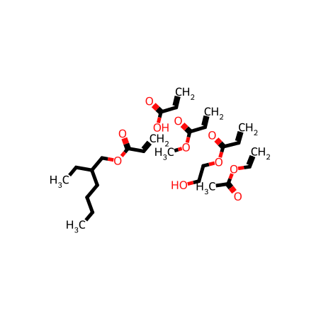 C=CC(=O)O.C=CC(=O)OC.C=CC(=O)OCC(CC)CCCC.C=CC(=O)OCCO.C=COC(C)=O